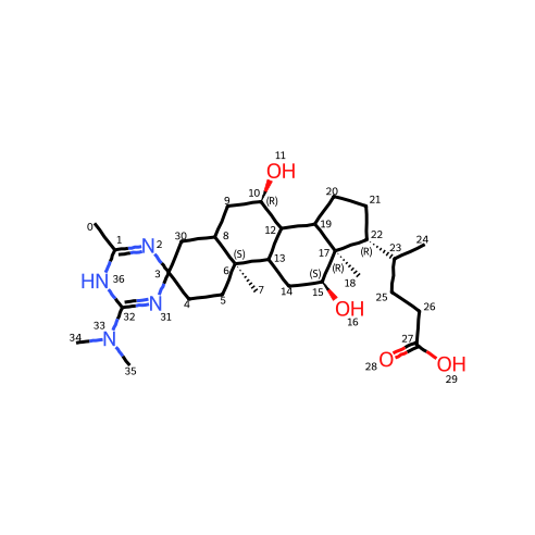 CC1=NC2(CC[C@@]3(C)C(C[C@@H](O)C4C3C[C@H](O)[C@@]3(C)C4CC[C@@H]3C(C)CCC(=O)O)C2)N=C(N(C)C)N1